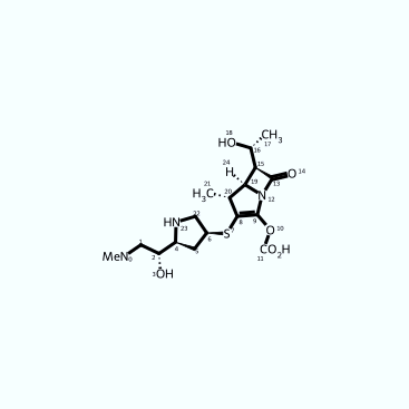 CNC[C@@H](O)[C@@H]1C[C@H](SC2=C(OC(=O)O)N3C(=O)[C@H]([C@@H](C)O)[C@@H]3[C@H]2C)CN1